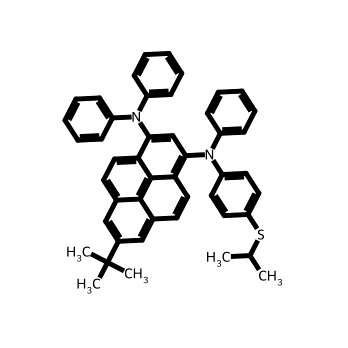 CC(C)Sc1ccc(N(c2ccccc2)c2cc(N(c3ccccc3)c3ccccc3)c3ccc4cc(C(C)(C)C)cc5ccc2c3c45)cc1